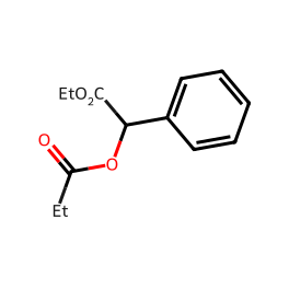 CCOC(=O)C(OC(=O)CC)c1ccccc1